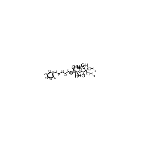 CC(C)(C)[C@@H](O)[C@@H](NC(=O)OCCCCCc1ccccc1)C(=O)O